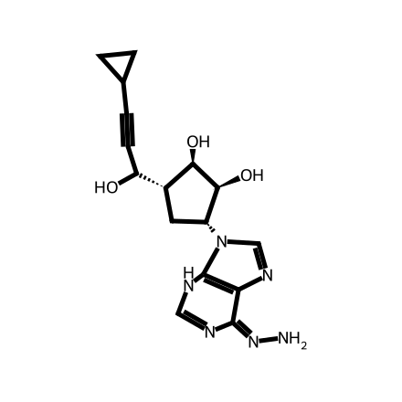 N/N=c1/nc[nH]c2c1ncn2[C@@H]1C[C@H](C(O)C#CC2CC2)[C@@H](O)[C@H]1O